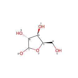 [O]C1O[C@H](CO)[C@H](O)[C@H]1O